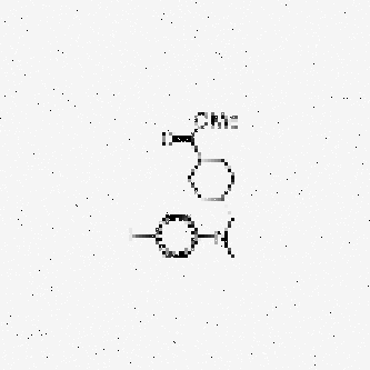 COC(=O)[C@H]1CC[C@H](CN(C)c2ccc(I)cc2)CC1